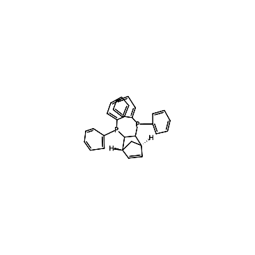 C1=C[C@H]2C[C@H]1C(P(c1ccccc1)c1ccccc1)C2P(c1ccccc1)c1ccccc1